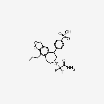 CCCc1c2c(cc3c1OOC3)C(c1ccc(S(=O)(=O)O)cc1)CNCC2.NC(=O)C(F)(F)F